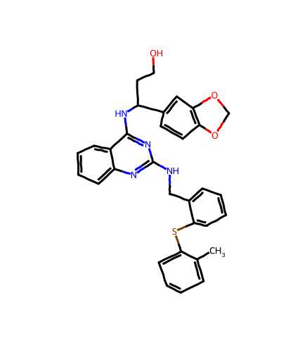 Cc1ccccc1Sc1ccccc1CNc1nc(NC(CCO)c2ccc3c(c2)OCO3)c2ccccc2n1